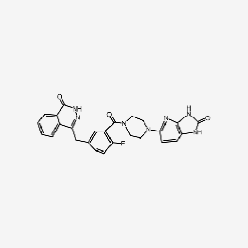 O=C(c1cc(Cc2n[nH]c(=O)c3ccccc23)ccc1F)N1CCN(c2ccc3[nH]c(=O)[nH]c3n2)CC1